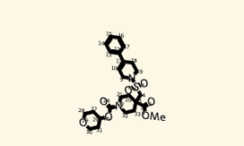 COC(=O)C1(CS(=O)(=O)N2CC=C(c3ccccc3)CC2)CCN(C(=O)OC2CCOCC2)CC1